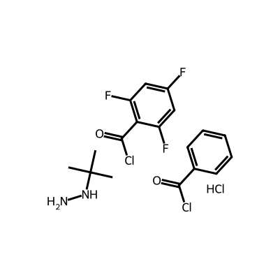 CC(C)(C)NN.Cl.O=C(Cl)c1c(F)cc(F)cc1F.O=C(Cl)c1ccccc1